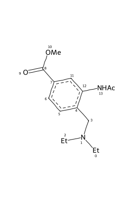 CCN(CC)Cc1ccc(C(=O)OC)cc1NC(C)=O